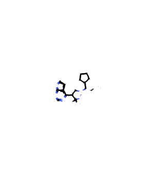 [2H]C1([2H])NN([C@H](CC#N)C2CCCC2)CC1c1ncnc2[nH]ccc12